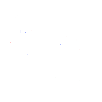 Cc1cccc(C(=O)O)c1S(=O)(=O)N1CCCc2ccc(NS(=O)(=O)c3c(Cl)cccc3Cl)cc21.O=C(OS(=O)(=O)N1CCCc2ccc(NS(=O)(=O)c3c(Cl)cccc3Cl)cc21)c1ccccc1